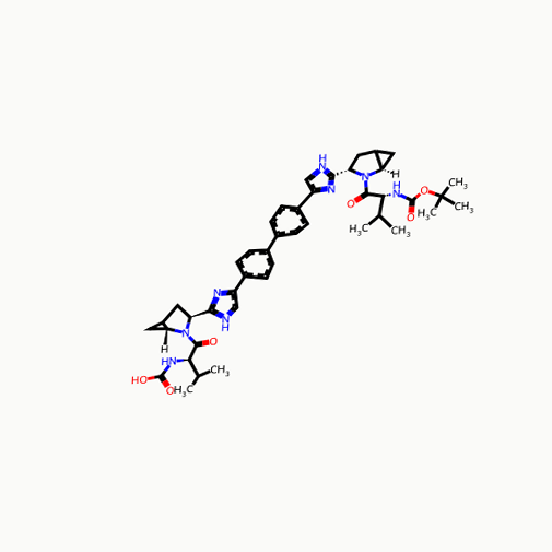 CC(C)[C@@H](NC(=O)O)C(=O)N1[C@@H]2CC2C[C@H]1c1nc(-c2ccc(-c3ccc(-c4c[nH]c([C@@H]5CC6C[C@H]6N5C(=O)[C@H](NC(=O)OC(C)(C)C)C(C)C)n4)cc3)cc2)c[nH]1